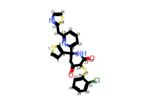 O=C1CC(c2ccsc2)(c2cccc(Cc3nccs3)n2)NC(=O)C1Sc1ccccc1Cl